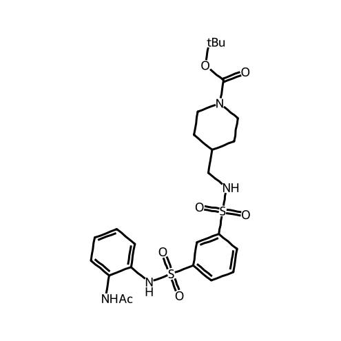 CC(=O)Nc1ccccc1NS(=O)(=O)c1cccc(S(=O)(=O)NCC2CCN(C(=O)OC(C)(C)C)CC2)c1